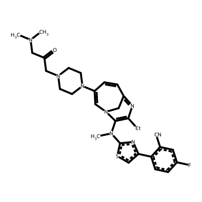 CCC1=C(N(C)c2nc(-c3ccc(F)cc3C#N)cs2)N2C=C(N3CCN(CC(=O)CN(C)C)CC3)C=CC(=N1)C2